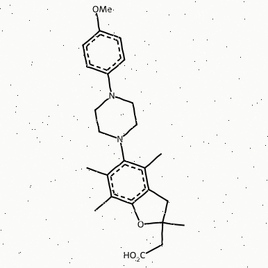 COc1ccc(N2CCN(c3c(C)c(C)c4c(c3C)CC(C)(CC(=O)O)O4)CC2)cc1